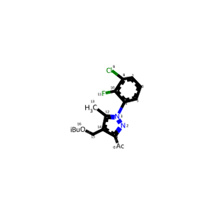 CC(=O)c1nn(-c2cccc(Cl)c2F)c(C)c1COCC(C)C